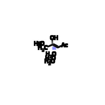 CC(=O)/C=C(/C)O.O.O.O.O.[Ni]